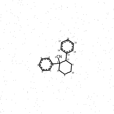 N#CC1(c2ccccc2)CCCCC1c1ccccc1